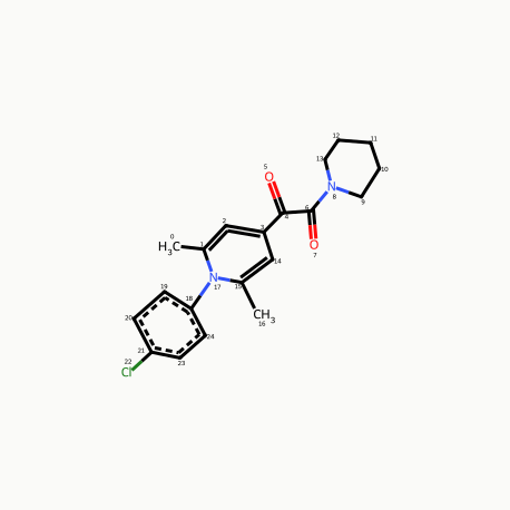 CC1=C=C(C(=O)C(=O)N2CCCCC2)C=C(C)N1c1ccc(Cl)cc1